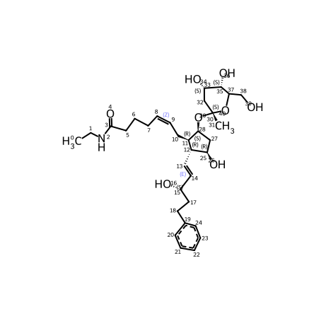 CCNC(=O)CCC/C=C\C[C@@H]1[C@@H](/C=C/[C@@H](O)CCc2ccccc2)[C@H](O)C[C@@H]1O[C@]1(C)C[C@H](O)[C@H](O)C(CO)O1